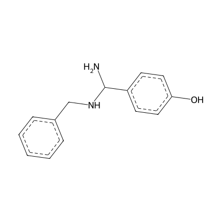 NC(NCc1ccccc1)c1ccc(O)cc1